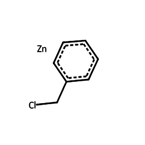 ClCc1ccccc1.[Zn]